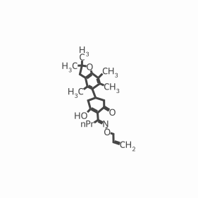 C=CCON=C(CCC)C1=C(O)CC(c2c(C)c(C)c3c(c2C)CC(C)(C)O3)CC1=O